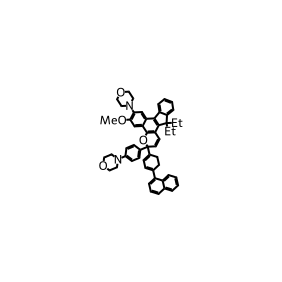 CCC1(CC)c2ccccc2-c2c1c1c(c3cc(OC)c(N4CCOCC4)cc23)OC(C2=CC=C(c3cccc4ccccc34)CC2)(c2ccc(N3CCOCC3)cc2)C=C1